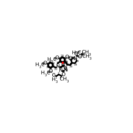 CCC[C@H](C)Oc1nc(N(Cc2ccc(OC)cc2OC)Cc2ccc(OC)cc2OC)c2ncc(C=C3CCN(C(=O)OC(C)(C)C)CC3)n2n1